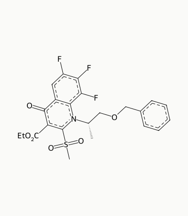 CCOC(=O)c1c(S(C)(=O)=O)n([C@@H](C)COCc2ccccc2)c2c(F)c(F)c(F)cc2c1=O